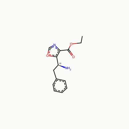 CCOC(=O)c1ncoc1[C@@H](N)Cc1ccccc1